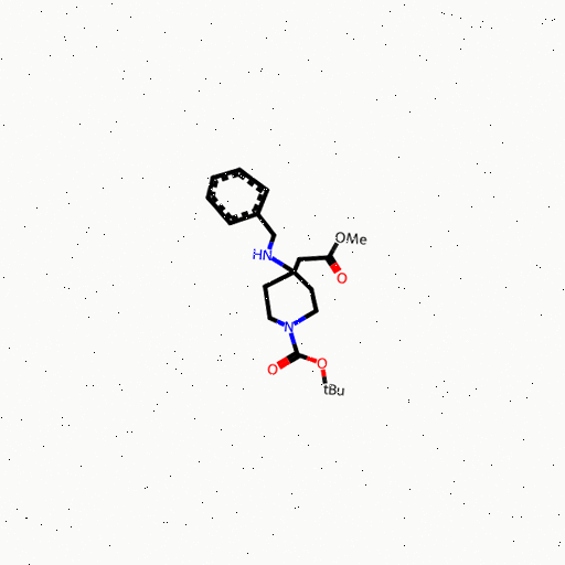 COC(=O)CC1(NCc2ccccc2)CCN(C(=O)OC(C)(C)C)CC1